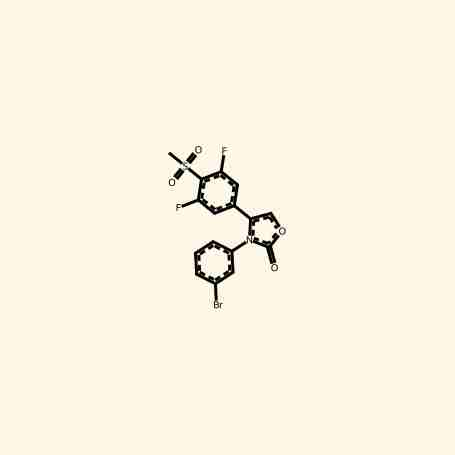 CS(=O)(=O)c1c(F)cc(-c2coc(=O)n2-c2cccc(Br)c2)cc1F